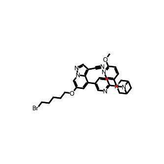 COc1ccc(CN2C3CC2CN(c2ccc(-c4cc(OCCCCCBr)cn5ncc(C#N)c45)cn2)C3)cn1